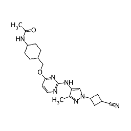 CC(=O)NC1CCC(COc2ccnc(Nc3cn(C4CC(C#N)C4)nc3C)n2)CC1